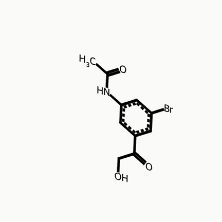 CC(=O)Nc1cc(Br)cc(C(=O)CO)c1